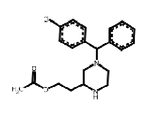 CC(=O)OCCC1CN(C(c2ccccc2)c2ccc(Cl)cc2)CCN1